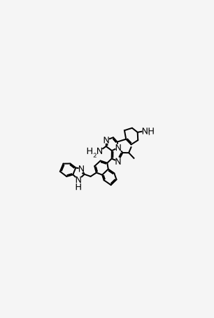 CNC1CC=C(c2cnc(N)c3c(-c4ccc(Cc5nc6ccccc6[nH]5)c5ccccc45)nc(C(C)C)n23)CC1